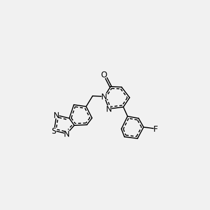 O=c1ccc(-c2cccc(F)c2)nn1Cc1ccc2nsnc2c1